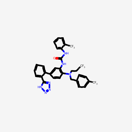 O=C(Nc1cc(-c2ccccc2-c2nnn[nH]2)ccc1N(CCC(F)(F)F)Cc1ccc(C(F)(F)F)cc1)Nc1ccccc1C(F)(F)F